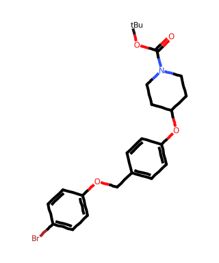 CC(C)(C)OC(=O)N1CCC(Oc2ccc(COc3ccc(Br)cc3)cc2)CC1